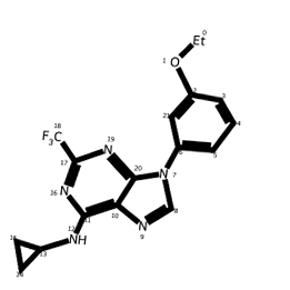 CCOc1cccc(-n2cnc3c(NC4CC4)nc(C(F)(F)F)nc32)c1